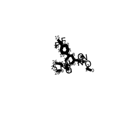 CCOc1noc(C2CC(c3ccc(C(C)(F)F)cc3)CN(C(=O)N3CCSCC3)C2)n1